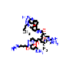 CCCCc1nc2c(N)nc3ccccc3c2n1Cc1ccc(CNC(=O)C(CCCNC(=N)N)CC(=O)C(CC(=O)C2CCCN2C(=O)C(CCCCN)NC(=O)CCCCN=[N+]=[N-])CC(C)C)cc1